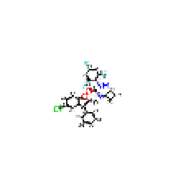 O=C(Nc1c(F)cc(F)cc1F)N(Cc1oc2ccc(Cl)cc2c1-c1ccccc1)C1CCC1